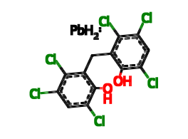 Oc1c(Cl)cc(Cl)c(Cl)c1Cc1c(O)c(Cl)cc(Cl)c1Cl.[PbH2]